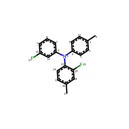 Cc1ccc(N(c2cccc(F)c2)c2ccc(C)cc2F)cc1